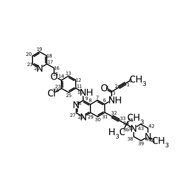 CC#CC(=O)Nc1cc2c(Nc3ccc(OCc4ccccn4)c(Cl)c3)ncnc2cc1C#CC(C)(C)N1CCN(C)CC1